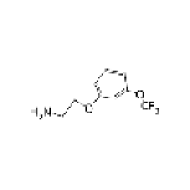 NCCOc1cccc(OC(F)(F)F)c1